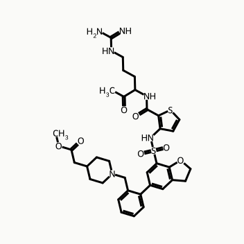 COC(=O)CC1CCN(Cc2ccccc2-c2cc3c(c(S(=O)(=O)Nc4ccsc4C(=O)NC(CCCNC(=N)N)C(C)=O)c2)OCC3)CC1